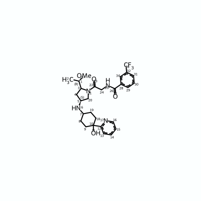 CO[C@H](C)C1C[C@H](NC2CCC(O)(c3ccccn3)CC2)CN1C(=O)CNC(=O)c1cccc(C(F)(F)F)c1